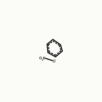 O=[N+]([O-])Cl.c1ccccc1